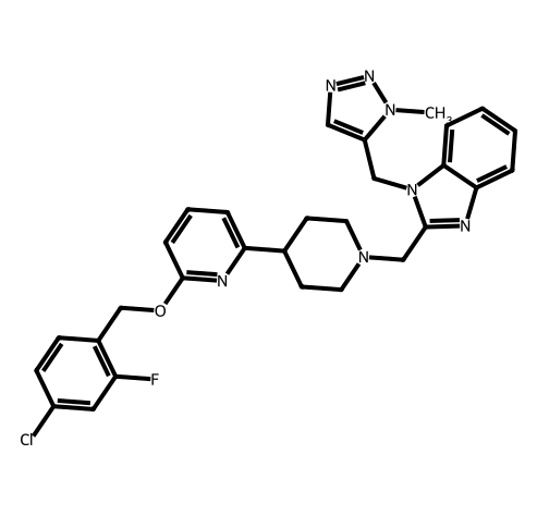 Cn1nncc1Cn1c(CN2CCC(c3cccc(OCc4ccc(Cl)cc4F)n3)CC2)nc2ccccc21